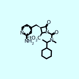 CCOC(=O)C1[C@@H](Cc2ccnc(N)c2)C(=O)N1C(=O)N(C)C(C)C1CCCCC1